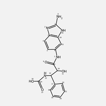 Nc1nc2ccc(NC(=O)C(O)C(NC(=O)O)c3ccccc3)cc2[nH]1